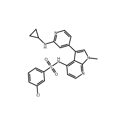 Cn1cc(-c2ccnc(NC3CC3)c2)c2c(NS(=O)(=O)c3cccc(Cl)c3)ccnc21